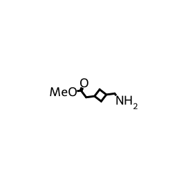 COC(=O)CC1CC(CN)C1